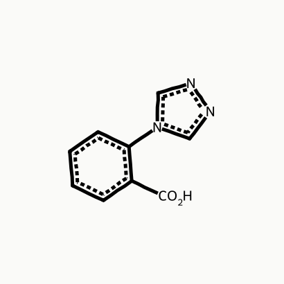 O=C(O)c1ccccc1-n1cnnc1